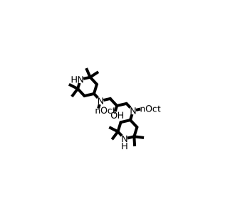 CCCCCCCCN(CC(O)CN(CCCCCCCC)C1CC(C)(C)NC(C)(C)C1)C1CC(C)(C)NC(C)(C)C1